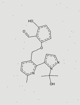 Cc1ccc(COc2cccc(O)c2C=O)c(-c2ccnn2C(C)(C)O)n1